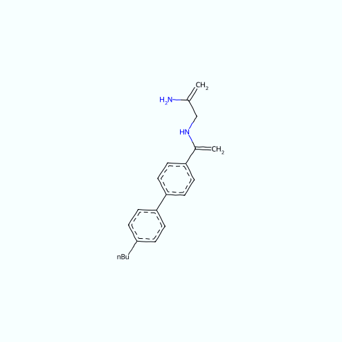 C=C(N)CNC(=C)c1ccc(-c2ccc(CCCC)cc2)cc1